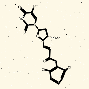 CCc1cn([C@H]2C[C@H](OC(C)=O)[C@@H](/C=C/C(=O)Cc3c(Cl)cccc3Cl)O2)c(=O)[nH]c1=O